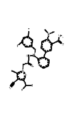 Cc1c(C#N)c(C(F)F)nn1CC(=O)N[C@@H](Cc1cc(F)cc(F)c1)c1ncccc1-c1ccc(N(C)C)c(C(N)=O)c1